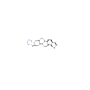 CC[C@@]12CC[C@@]3(C)C4=CC(=O)C(O)=C(C)C4=CC=C3[C@@]1(C)CC[C@@]1(C)CC[C@@](C)(C(=O)N3CCCC3)C[C@H]12